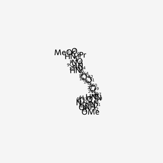 COC(=O)NC(C(=O)N1CCC[C@H]1c1ncc(-c2ccc3cc(-c4ccc(-c5cnc([C@@H]6CCCN6C(=O)[C@@H](NC(=O)OC)c6cccnc6)[nH]5)cc4)ccc3c2)[nH]1)C(C)C